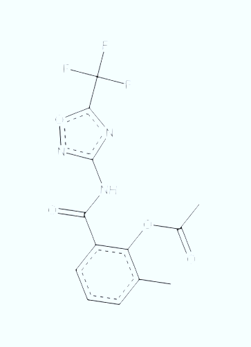 CC(=O)Oc1c(C)cccc1C(=O)Nc1noc(C(F)(F)F)n1